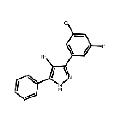 Clc1cc(Cl)cc(-c2n[nH]c(-c3ccccc3)c2Br)c1